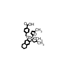 Cc1ccc(S(=O)(=O)N(CC(C)C)c2cc3c(cc2OCc2ccc(C(=O)O)cc2)CCCC3)o1